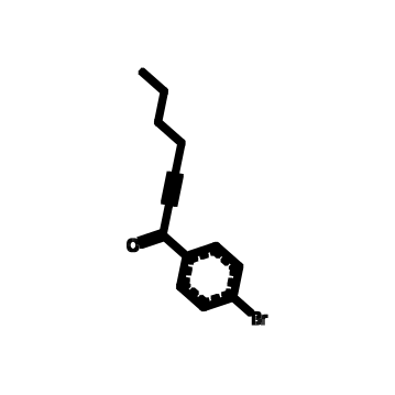 CCCCC#CC(=O)c1ccc(Br)cc1